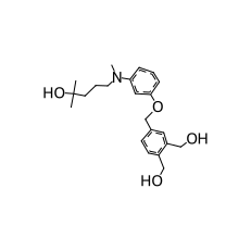 CN(CCCC(C)(C)O)c1cccc(OCc2ccc(CO)c(CO)c2)c1